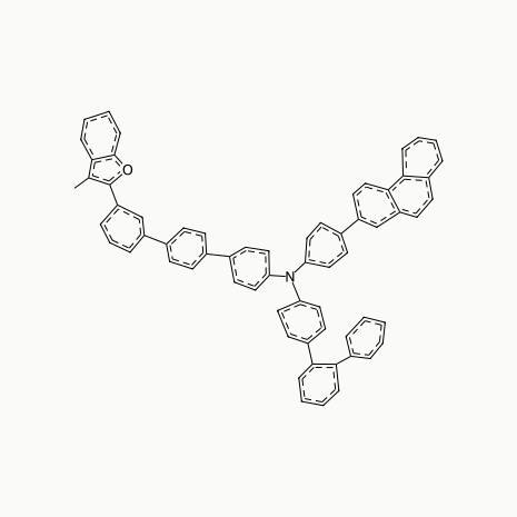 Cc1c(-c2cccc(-c3ccc(-c4ccc(N(c5ccc(-c6ccc7c(ccc8ccccc87)c6)cc5)c5ccc(-c6ccccc6-c6ccccc6)cc5)cc4)cc3)c2)oc2ccccc12